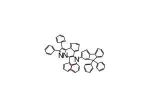 c1ccc(-c2nn3c(-c4ccccc4)c(N(c4ccccc4)c4ccc5c(c4)C(c4ccccc4)(c4ccccc4)c4ccccc4-5)c4ccccc4c3c2-c2ccccc2)cc1